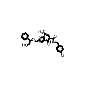 Cn1cc(C(=O)NCc2ccc(Cl)cc2)c(=O)c2cc(COC(CO)c3ccccc3)sc21